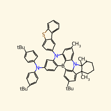 Cc1cc2c3c(c1)N1c4c(cc(C(C)(C)C)cc4C4(C)CCCCC14C)B3c1ccc(N(c3ccc(C(C)(C)C)cc3)c3ccc(C(C)(C)C)cc3)cc1N2c1ccc2sc3ccccc3c2c1